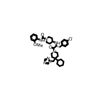 COc1ccccc1NC(=O)N1CCC(N[C@H](Cc2ccc(Cl)cc2)C(=O)N2CCC(Cn3cncn3)(C3CCCCC3)CC2)CC1